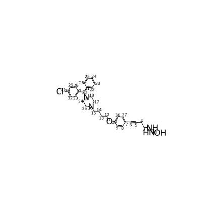 ONNCCC#Cc1ccc(OCCCCN2CCN([C@H](c3ccccc3)c3ccc(Cl)cc3)CC2)cc1